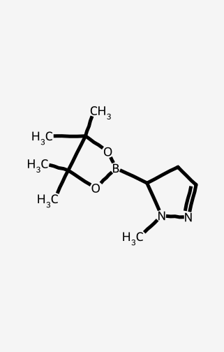 CN1N=CCC1B1OC(C)(C)C(C)(C)O1